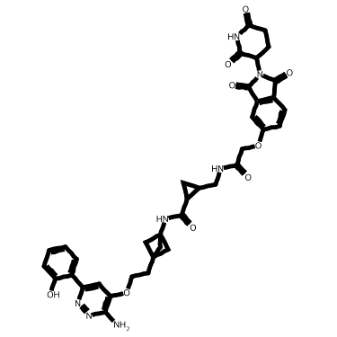 Nc1nnc(-c2ccccc2O)cc1OCCC12CC(NC(=O)C3CC3CNC(=O)COc3ccc4c(c3)C(=O)N(C3CCC(=O)NC3=O)C4=O)(C1)C2